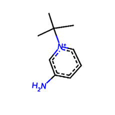 CC(C)(C)[n+]1cccc(N)c1